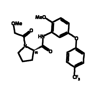 COCC(=O)N1CCC[C@H]1C(=O)Nc1cc(Oc2ccc(C(F)(F)F)cc2)ccc1OC